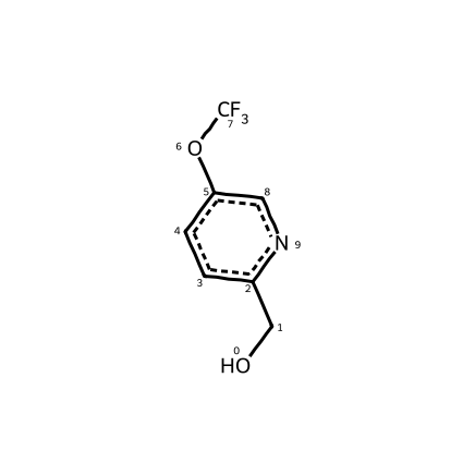 OCc1ccc(OC(F)(F)F)cn1